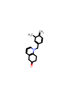 C=C1C=CC(CN2C=C=CC3=C2CCC(=O)C3)=CC1C